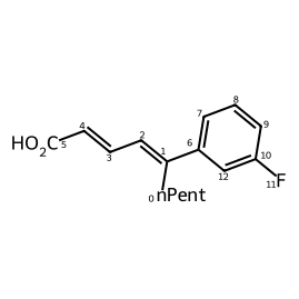 CCCCC/C(=C\C=C\C(=O)O)c1cccc(F)c1